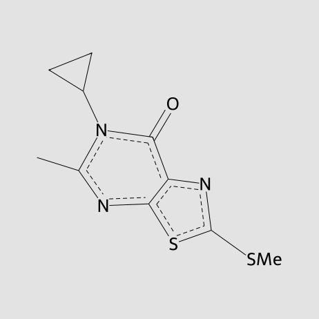 CSc1nc2c(=O)n(C3CC3)c(C)nc2s1